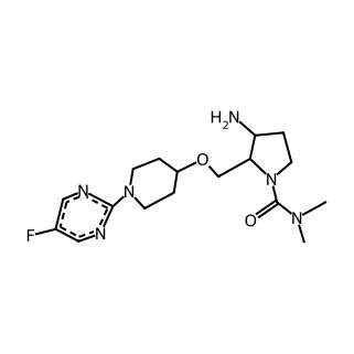 CN(C)C(=O)N1CCC(N)C1COC1CCN(c2ncc(F)cn2)CC1